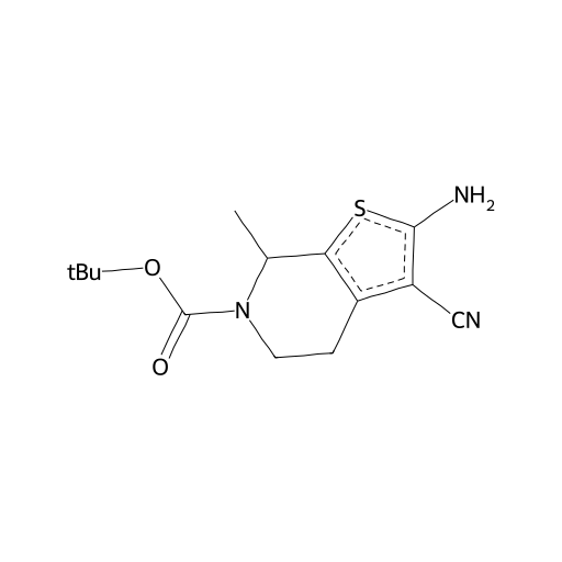 CC1c2sc(N)c(C#N)c2CCN1C(=O)OC(C)(C)C